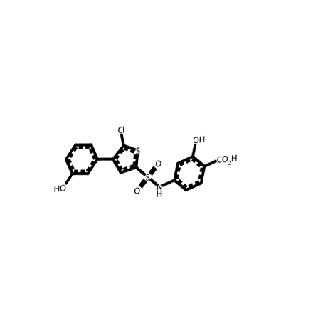 O=C(O)c1ccc(NS(=O)(=O)c2cc(-c3cccc(O)c3)c(Cl)s2)cc1O